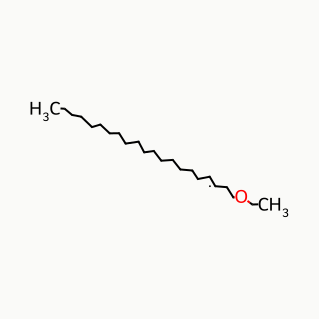 CCCCCCCCCCCCCCCCCC[CH]CCOCC